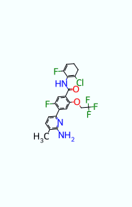 Cc1ccc(-c2cc(OCC(F)(F)F)c(C(=O)NC3=C(Cl)CCC=C3F)cc2F)nc1N